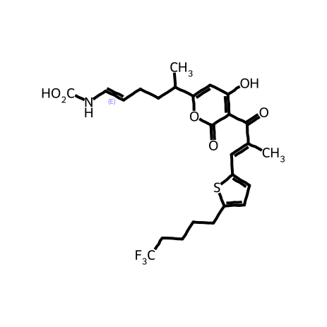 CC(=Cc1ccc(CCCCC(F)(F)F)s1)C(=O)c1c(O)cc(C(C)CC/C=C/NC(=O)O)oc1=O